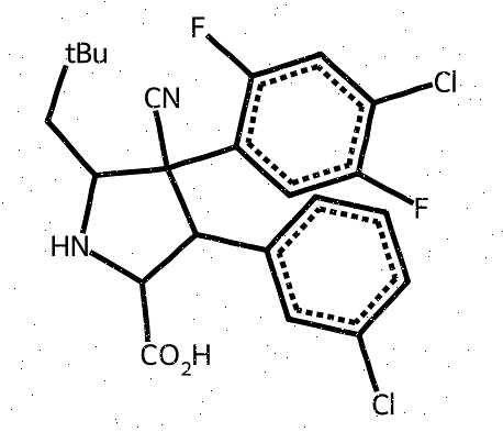 CC(C)(C)CC1NC(C(=O)O)C(c2cccc(Cl)c2)C1(C#N)c1cc(F)c(Cl)cc1F